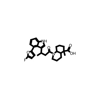 CC(CC(=O)N1CCCC2C1CCCC2(C)C(=O)O)c1c[nH]c2cccc(-c3ccc(F)o3)c12